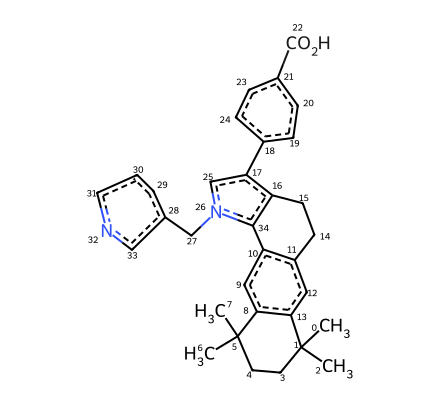 CC1(C)CCC(C)(C)c2cc3c(cc21)CCc1c(-c2ccc(C(=O)O)cc2)cn(Cc2cccnc2)c1-3